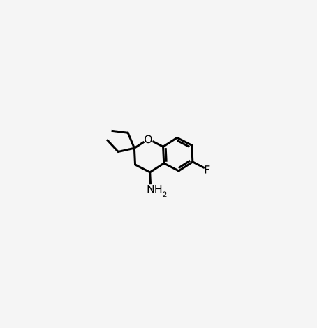 CCC1(CC)CC(N)c2cc(F)ccc2O1